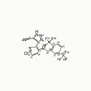 N#Cc1[nH]nnc1-c1cc(Cl)ccc1OCc1cc(C(F)(F)F)ccc1C(F)(F)F